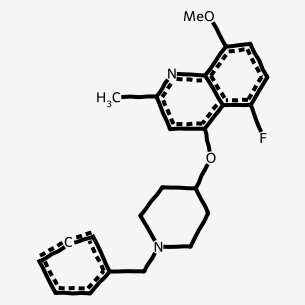 COc1ccc(F)c2c(OC3CCN(Cc4ccccc4)CC3)cc(C)nc12